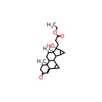 CCOC(=O)CC[C@]1(O)C2CC2C2C3C4CC4C4=CC(=O)CC[C@]4(C)C3CC[C@@]21C